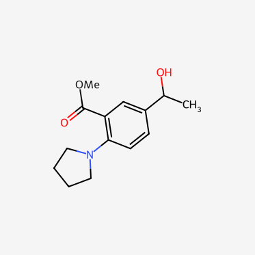 COC(=O)c1cc(C(C)O)ccc1N1CCCC1